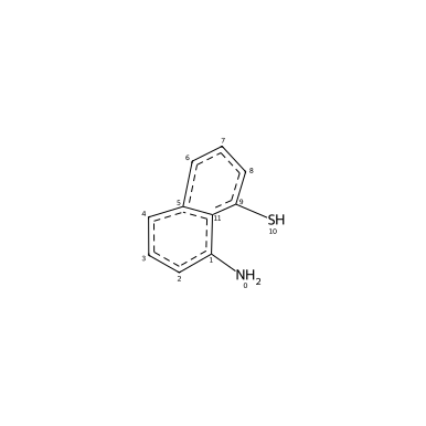 Nc1cccc2cccc(S)c12